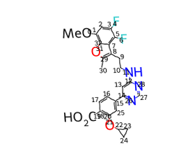 COc1cc(F)c(F)c2c(CCNc3cc(-c4ccc(C(=O)O)c(OC5CC5)c4)ncn3)c(C)oc12